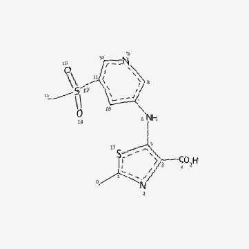 Cc1nc(C(=O)O)c(Nc2cncc(S(C)(=O)=O)c2)s1